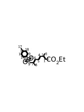 CCOC(=O)C=C(C)C=CC=C(C)CS(=O)(=O)c1ccc(C)cc1